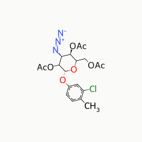 CC(=O)OCC1O[C@H](Oc2ccc(C)c(Cl)c2)C(OC(C)=O)[C@@H](N=[N+]=[N-])[C@H]1OC(C)=O